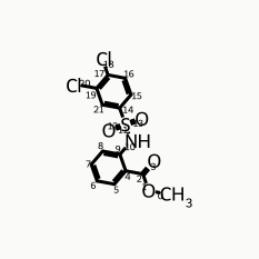 COC(=O)c1ccccc1NS(=O)(=O)c1ccc(Cl)c(Cl)c1